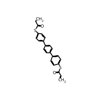 C=CC(=O)Sc1ccc(-c2ccc(-c3ccc(SC(=O)C=C)cc3)cc2)cc1